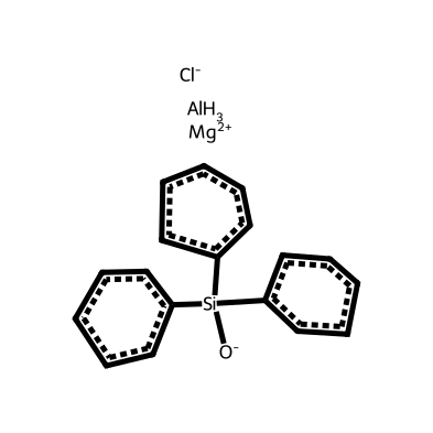 [AlH3].[Cl-].[Mg+2].[O-][Si](c1ccccc1)(c1ccccc1)c1ccccc1